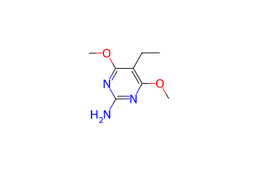 CCc1c(OC)nc(N)nc1OC